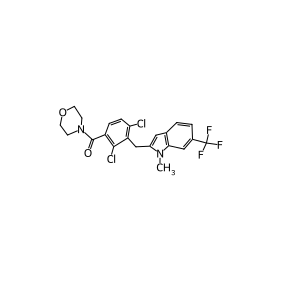 Cn1c(Cc2c(Cl)ccc(C(=O)N3CCOCC3)c2Cl)cc2ccc(C(F)(F)F)cc21